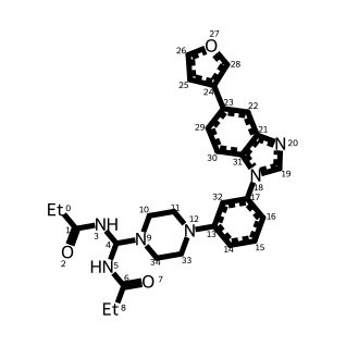 CCC(=O)NC(NC(=O)CC)N1CCN(c2cccc(-n3cnc4cc(-c5ccoc5)ccc43)c2)CC1